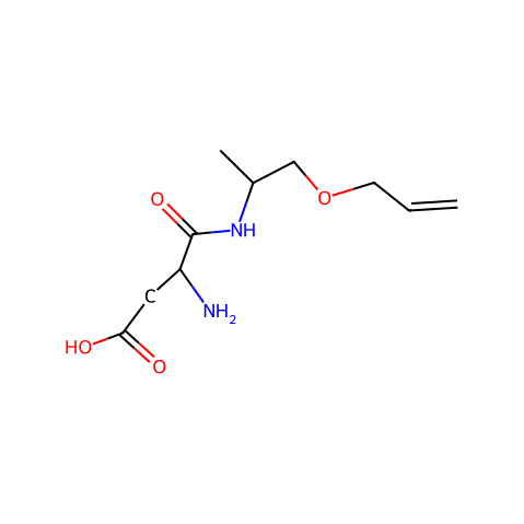 C=CCOCC(C)NC(=O)C(N)CC(=O)O